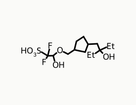 CCC(O)(CC)CC1CCC(COC(O)C(F)(F)S(=O)(=O)O)C1